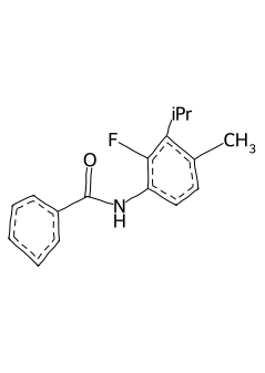 Cc1ccc(NC(=O)c2ccccc2)c(F)c1C(C)C